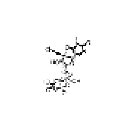 C[C@@H](OP(=O)(O)OP(=O)(O)OP(=O)(O)O)[C@H]1O[C@@H](n2cnc(=O)[nH]c2=O)C(Cl)(C#CCl)[C@H]1O